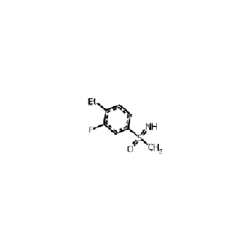 CCc1ccc(S(C)(=N)=O)cc1F